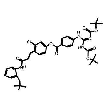 CC(C)(C)Cc1ccccc1NC(=O)CCc1ccc(OC(=O)c2ccc(N/C(=N\C(=O)OC(C)(C)C)NC(=O)OC(C)(C)C)cc2)cc1Cl